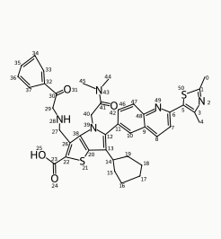 Cc1nc(C)c(-c2ccc3cc(-c4c(C5CCCCC5)c5sc(C(=O)O)c(CNCC(=O)c6ccccc6)c5n4CC(=O)N(C)C)ccc3n2)s1